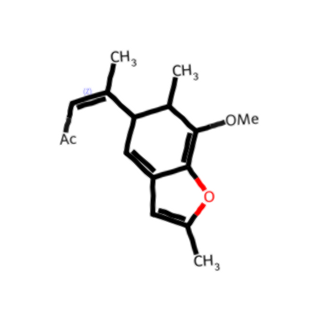 COC1=c2oc(C)cc2=CC(/C(C)=C\C(C)=O)C1C